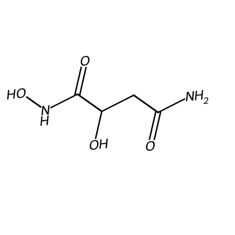 NC(=O)CC(O)C(=O)NO